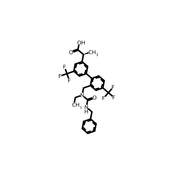 CCN(Cc1cc(C(F)(F)F)ccc1-c1cc([C@H](C)C(=O)O)cc(C(F)(F)F)c1)C(=O)NCc1ccccc1